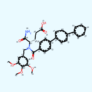 COc1cc(CN(C(=O)c2ccc(-c3ccc(-c4ccccc4)cc3)cc2)[C@@H](CCC(=O)O)C(N)=O)cc(OC)c1OC